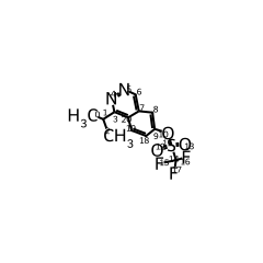 CC(C)c1nncc2cc(OS(=O)(=O)C(F)(F)F)ccc12